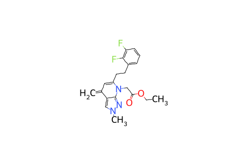 C=C1C=C(CCc2cccc(F)c2F)N(CC(=O)OCC)c2nn(C)cc21